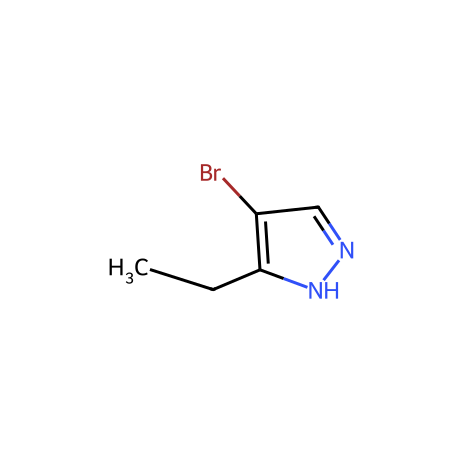 CCc1[nH]ncc1Br